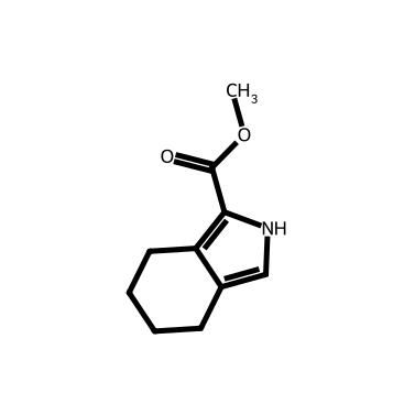 COC(=O)c1[nH]cc2c1CCCC2